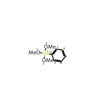 COS(OC)(OC)c1ccccc1